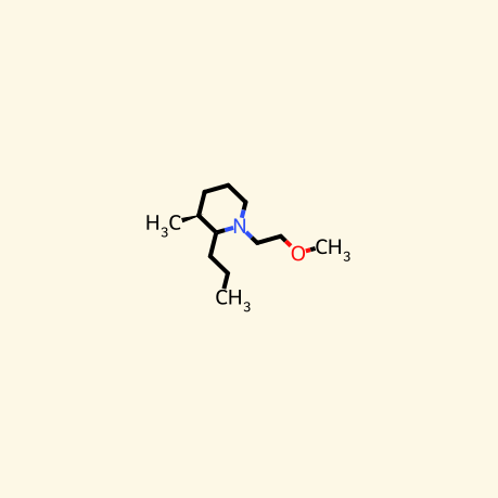 CCCC1[C@@H](C)CCCN1CCOC